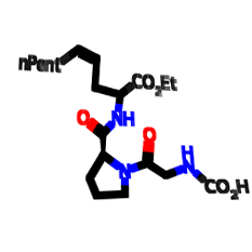 CCCCC/C=C\CC(NC(=O)[C@@H]1CCCN1C(=O)CNC(=O)O)C(=O)OCC